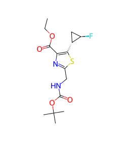 CCOC(=O)c1nc(CNC(=O)OC(C)(C)C)sc1[C@@H]1C[C@H]1F